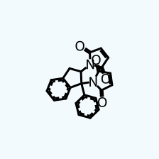 O=C1C=CC(=O)N1C1Cc2ccccc2C1(c1ccccc1)N1C(=O)C=CC1=O